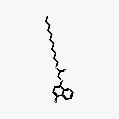 CCCCCCCCCCCOC(=O)COc1ccc(Cl)c2cccnc12